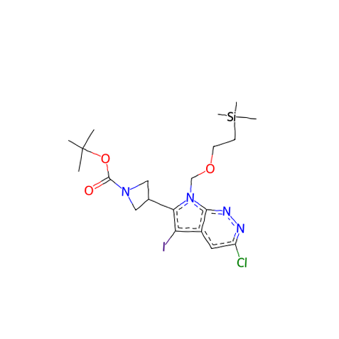 CC(C)(C)OC(=O)N1CC(c2c(I)c3cc(Cl)nnc3n2COCC[Si](C)(C)C)C1